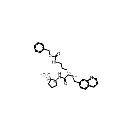 O=C(NCCC[C@H](NCc1ccc2cccnc2c1)C(=O)N[C@H]1CCC[C@H]1C(=O)O)OCc1ccccc1